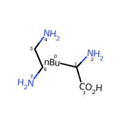 CCCCC(N)C(=O)O.NCCN